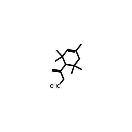 C=C(CC=O)C1C(C)(C)C=C(C)CC1(C)C